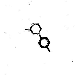 Cc1ccc(N2CCO[C@H](C)C2)cc1